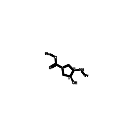 CC(C)N[C@@H]1CN(C(=O)OC(C)(C)C)C[C@@H]1O